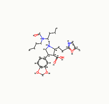 CCCCN(C=O)CCCC.Cc1cnc(CCC2C(C(=O)O)C(c3ccc4c(c3)OCO4)CN2C)o1